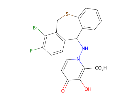 O=C(O)c1c(O)c(=O)ccn1NC1c2ccccc2SCc2c1ccc(F)c2Br